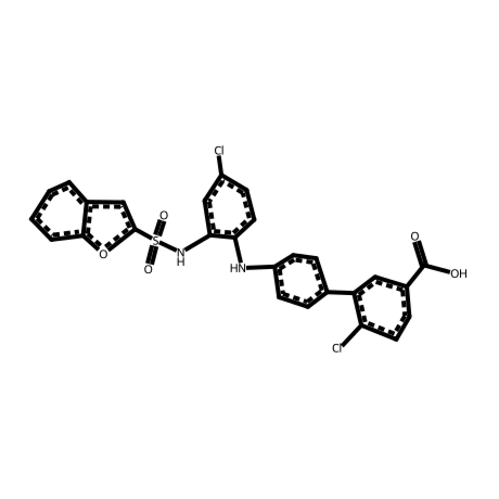 O=C(O)c1ccc(Cl)c(-c2ccc(Nc3ccc(Cl)cc3NS(=O)(=O)c3cc4ccccc4o3)cc2)c1